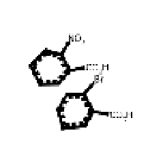 O=C(O)c1ccccc1Br.O=C(O)c1ccccc1[N+](=O)[O-]